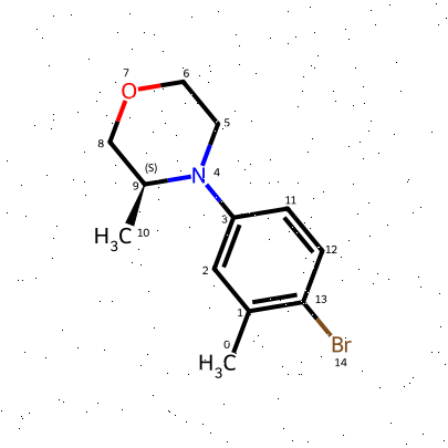 Cc1cc(N2CCOC[C@@H]2C)ccc1Br